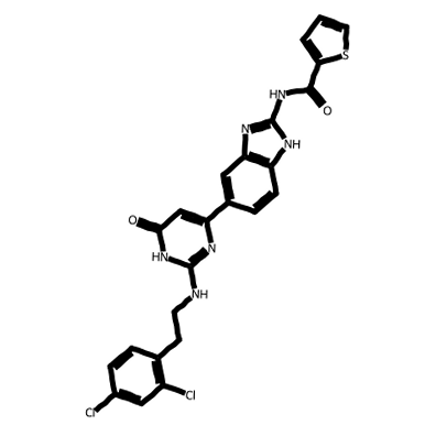 O=C(Nc1nc2cc(-c3cc(=O)[nH]c(NCCc4ccc(Cl)cc4Cl)n3)ccc2[nH]1)c1cccs1